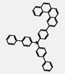 c1ccc(-c2ccc(N(c3ccc(-c4ccccc4)cc3)c3ccc(-c4ccc5ccc6ccc7ccccc7c6c5c4)cc3)cc2)cc1